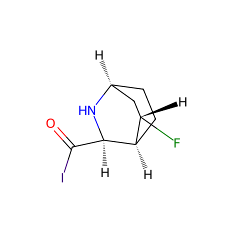 O=C(I)[C@H]1N[C@H]2CC[C@@H]1[C@@H](F)C2